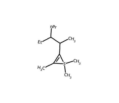 CCCC(CC)C(C)C1=C(C)S1(C)C